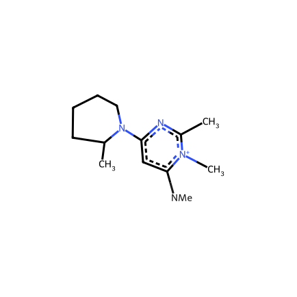 CNc1cc(N2CCCCC2C)nc(C)[n+]1C